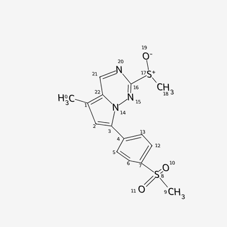 Cc1cc(-c2ccc(S(C)(=O)=O)cc2)n2nc([S+](C)[O-])ncc12